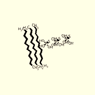 CCCCCCCCCCCC.CCCCCCCCCCCC.CCCCCCCCCCCC.OP(O)(O)=S.OP(O)(O)=S.OP(O)(O)=S